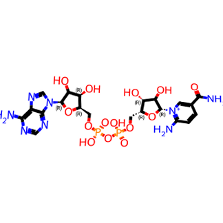 NC(=O)c1ccc(N)[n+]([C@@H]2O[C@H](COP(=O)(O)OP(=O)(O)OC[C@H]3O[C@@H](n4cnc5c(N)ncnc54)C(O)[C@H]3O)[C@H](O)C2O)c1